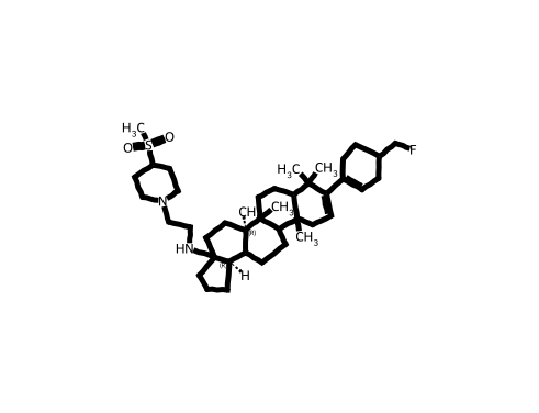 CC1(C)C(C2=CCC(CF)CC2)=CCC2(C)C1CCC1(C)C2CCC2[C@H]3CCCC3(NCCN3CCC(S(C)(=O)=O)CC3)CC[C@]21C